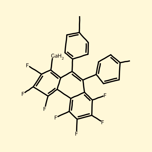 Cc1ccc(-c2c(-c3ccc(C)cc3)c3[c]([GaH2])c(F)c(F)c(F)c3c3c(F)c(F)c(F)c(F)c23)cc1